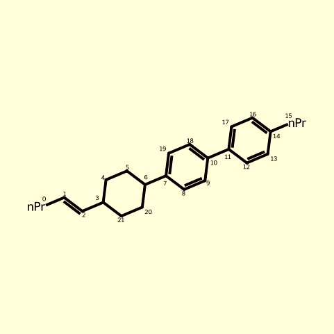 CCCC=CC1CCC(c2ccc(-c3ccc(CCC)cc3)cc2)CC1